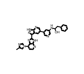 Cc1cn(-c2ccnc3[nH]c(-c4n[nH]c5ncc(-c6cncc(NC(O)Cc7ccccc7)c6)cc45)nc23)cn1